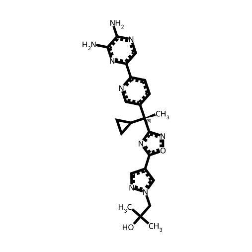 CC(C)(O)Cn1cc(-c2nc([C@@](C)(c3ccc(-c4cnc(N)c(N)n4)nc3)C3CC3)no2)cn1